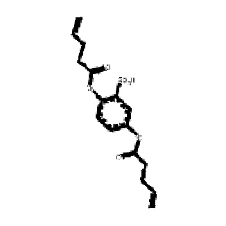 C=CCCC(=O)Oc1ccc(OC(=O)CCC=C)c(S(=O)(=O)O)c1